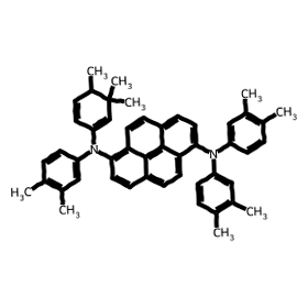 Cc1ccc(N(C2=CC(C)(C)C(C)C=C2)c2ccc3ccc4c(N(c5ccc(C)c(C)c5)c5ccc(C)c(C)c5)ccc5ccc2c3c54)cc1C